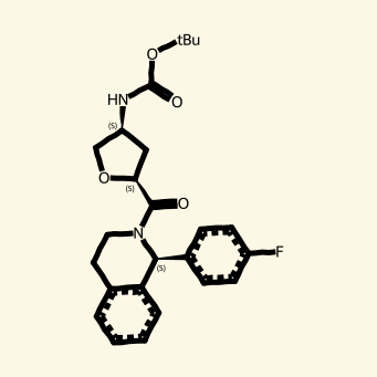 CC(C)(C)OC(=O)N[C@@H]1CO[C@H](C(=O)N2CCc3ccccc3[C@@H]2c2ccc(F)cc2)C1